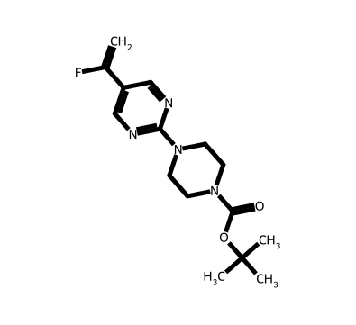 C=C(F)c1cnc(N2CCN(C(=O)OC(C)(C)C)CC2)nc1